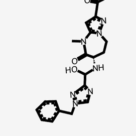 CC(=O)c1cc2n(n1)CC[C@H](NC(O)c1ncn(Cc3ccccc3)n1)C(=O)N2C